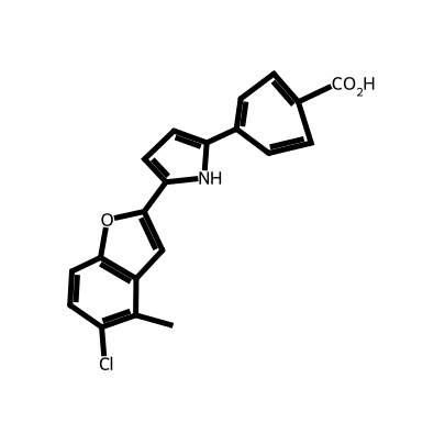 Cc1c(Cl)ccc2oc(-c3ccc(-c4ccc(C(=O)O)cc4)[nH]3)cc12